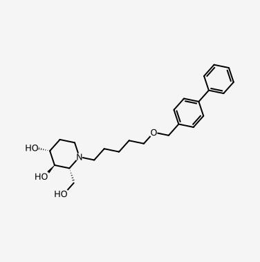 OC[C@@H]1[C@@H](O)[C@H](O)CCN1CCCCCOCc1ccc(-c2ccccc2)cc1